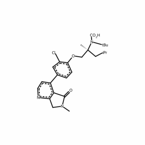 CC(C)C[C@@](C)(COc1ccc(-c2ccnc3c2C(=O)N(C)C3)cc1Cl)N(C(=O)O)C(C)(C)C